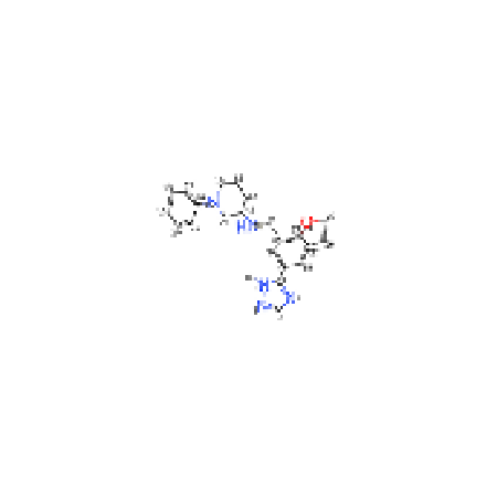 Cn1ncnc1-c1cc(CNC2CCCN(c3ccccc3)C2)c2occc2c1